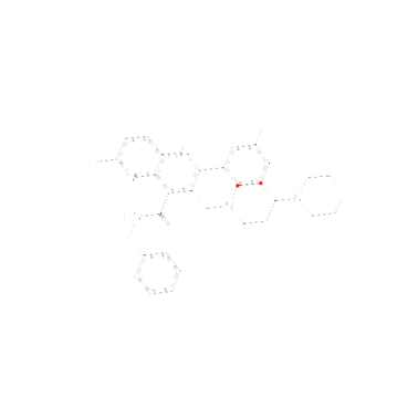 C[C@H](NC(=O)c1c(CN2CCC(N3CCOCC3)CC2)c(-c2cccc(C(F)(F)F)c2)nc2ccc(O)nc12)c1ccccc1